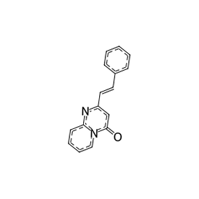 O=c1cc(C=Cc2ccccc2)nc2ccccn12